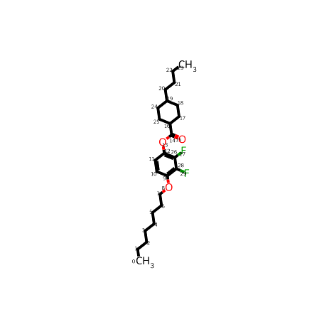 CCCCCCCCOc1ccc(OC(=O)C2CCC(CCCC)CC2)c(F)c1F